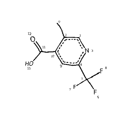 Cc1cnc(C(F)(F)F)cc1C(=O)O